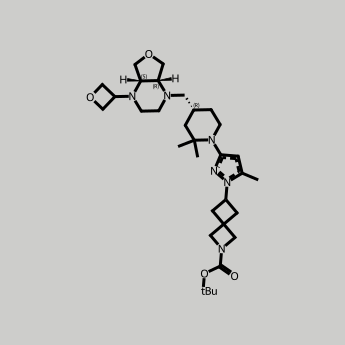 Cc1cc(N2CC[C@@H](CN3CCN(C4COC4)[C@@H]4COC[C@@H]43)CC2(C)C)nn1C1CC2(C1)CN(C(=O)OC(C)(C)C)C2